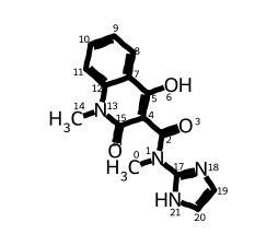 CN(C(=O)c1c(O)c2ccccc2n(C)c1=O)c1ncc[nH]1